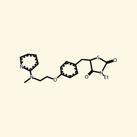 CCN1C(=O)SC(Cc2ccc(OCCN(C)c3ccccn3)cc2)C1=O